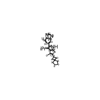 Cc1c(C2CC3(CCCC3)C2)sc2[nH]c(-c3cc(C)c4ncnn4c3)c(C(C)C)c12